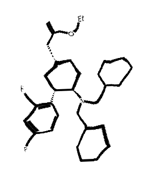 C=C(C[C@@H]1CC[C@@H](N(CC2CCCCC2)CC2CCCCC2)[C@H](c2ccc(F)cc2F)C1)OCC